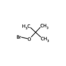 CC(C)(C)OBr